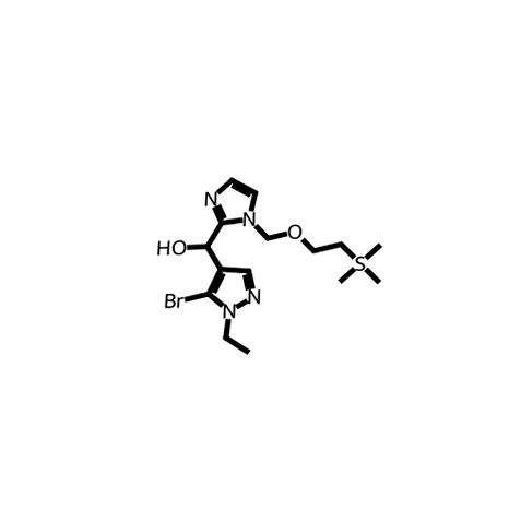 CCn1ncc(C(O)c2nccn2COCCS(C)(C)C)c1Br